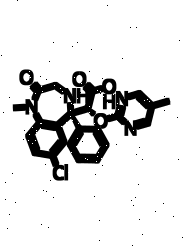 Cc1cnc(O[C@H](C(=O)O)[C@@]2(c3ccccc3)NCC(=O)N(C)c3ccc(Cl)cc32)nc1